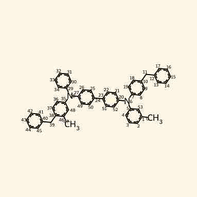 Cc1cccc(N(c2ccc(Cc3ccccc3)cc2)c2ccc(-c3ccc(N(c4ccccc4)c4ccc(Cc5ccccc5)c(C)c4)cc3)cc2)c1